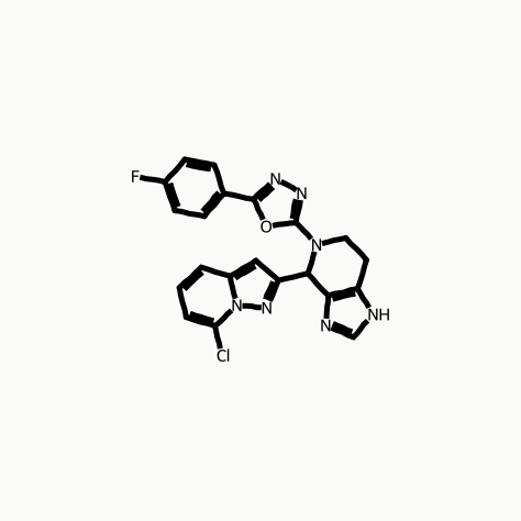 Fc1ccc(-c2nnc(N3CCc4[nH]cnc4C3c3cc4cccc(Cl)n4n3)o2)cc1